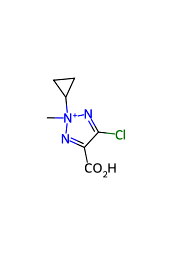 C[N+]1(C2CC2)N=C(Cl)C(C(=O)O)=N1